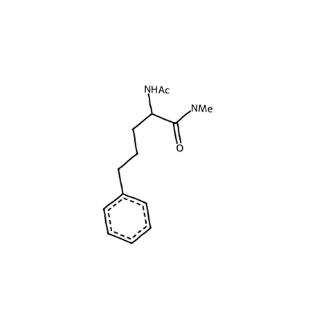 CNC(=O)C(CCCc1ccccc1)NC(C)=O